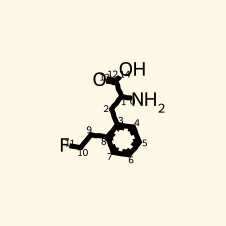 NC(Cc1ccccc1CCF)C(=O)O